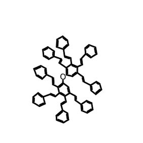 C(=Cc1cc(Oc2cc(C=Cc3ccccc3)c(C=Cc3ccccc3)c(C=Cc3ccccc3)c2C=Cc2ccccc2)c(C=Cc2ccccc2)c(C=Cc2ccccc2)c1C=Cc1ccccc1)c1ccccc1